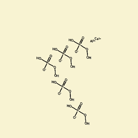 O=P([O-])(O)OO.O=P([O-])(O)OO.O=P([O-])(O)OO.O=P([O-])(O)OO.O=P([O-])(O)OO.[Al+3].[Ca+2]